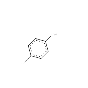 [Li][c]1ccc(O)cc1